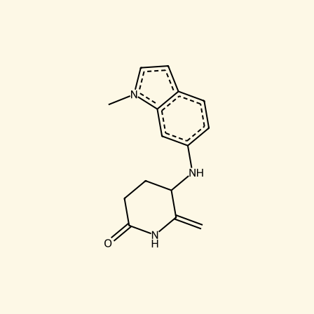 C=C1NC(=O)CCC1Nc1ccc2ccn(C)c2c1